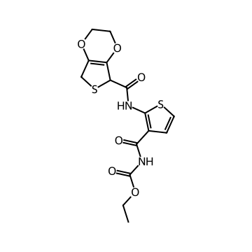 CCOC(=O)NC(=O)c1ccsc1NC(=O)C1SCC2=C1OCCO2